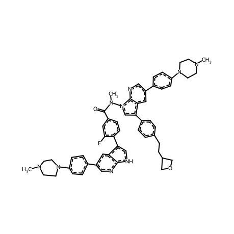 CN1CCN(c2ccc(-c3cnc4[nH]cc(-c5ccc(C(=O)N(C)n6cc(-c7ccc(CCC8COC8)cc7)c7cc(-c8ccc(N9CCN(C)CC9)cc8)cnc76)cc5F)c4c3)cc2)CC1